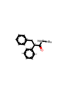 CCC[CH2][AlH][C](=O)C(Cc1ccccc1)c1ccccc1